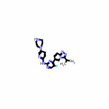 CC(C)c1nnc2ccc(-c3nc(Nc4ccc(N5CCNCC5)cn4)ncc3F)cn12